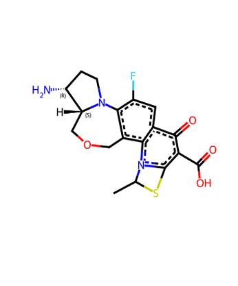 CC1Sc2c(C(=O)O)c(=O)c3cc(F)c4c(c3n21)COC[C@@H]1[C@H](N)CCN41